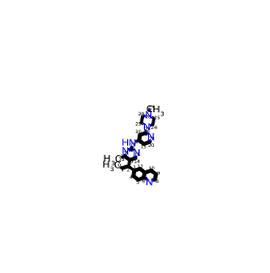 C/C=C(/c1ccc2ncccc2c1)c1cnc(Nc2ccnc(N3CCN(C)CC3)c2)nc1C